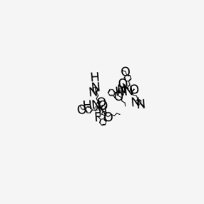 CCCCOC1(c2ccccc2C)CN(C(=O)[C@@H](Cc2ccc(OC)cc2)NC(=O)CCc2cn(C)cn2)C1.CCCCOC1(c2ccccc2F)CN(C(=O)[C@@H](Cc2ccc(OC)cc2)NC(=O)CCc2c[nH]cn2)C1